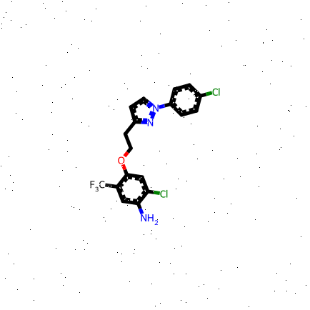 Nc1cc(C(F)(F)F)c(OCCc2ccn(-c3ccc(Cl)cc3)n2)cc1Cl